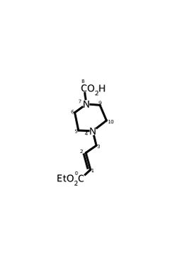 CCOC(=O)C=CCN1CCN(C(=O)O)CC1